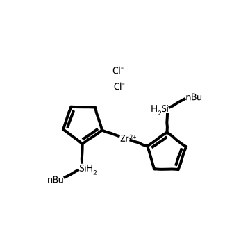 CCCC[SiH2]C1=[C]([Zr+2][C]2=C([SiH2]CCCC)C=CC2)CC=C1.[Cl-].[Cl-]